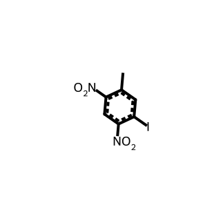 Cc1cc(I)c([N+](=O)[O-])cc1[N+](=O)[O-]